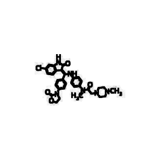 CN1CCN(CC(=O)N(C)c2ccc(N/C(=C3\C(=O)Nc4cc(Cl)ccc43)c3ccc(N4CCOC4=O)cc3)cc2)CC1